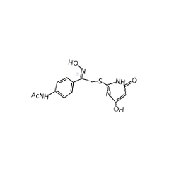 CC(=O)Nc1ccc(/C(CSc2nc(O)cc(=O)[nH]2)=N\O)cc1